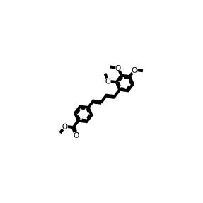 COC(=O)c1ccc(C=CC=Cc2ccc(OC)c(OC)c2OC)cc1